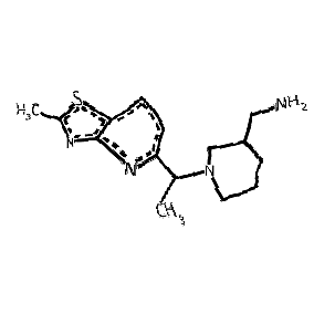 Cc1nc2nc(C(C)N3CCCC(CN)C3)ccc2s1